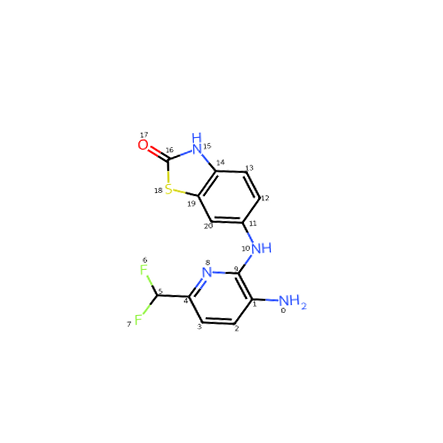 Nc1ccc(C(F)F)nc1Nc1ccc2[nH]c(=O)sc2c1